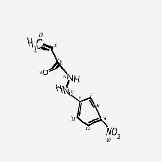 C=CC(=O)NNc1ccc([N+](=O)[O-])cc1